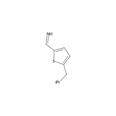 CC(C)Cc1ccc(C=N)s1